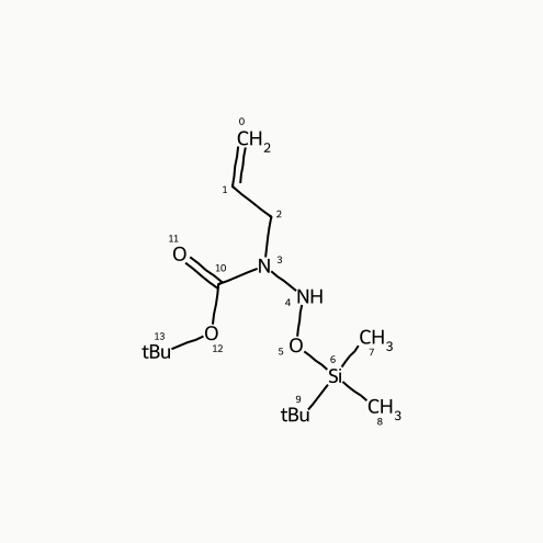 C=CCN(NO[Si](C)(C)C(C)(C)C)C(=O)OC(C)(C)C